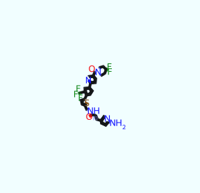 Nc1ccc(/C=C/C(=O)NCc2ccc(-c3ccc(-c4ccc(C(=O)N5CCC(F)(F)CC5)cn4)cc3C(F)(F)F)s2)cn1